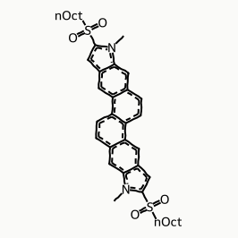 CCCCCCCCS(=O)(=O)c1cc2cc3c(ccc4c5cc6cc(S(=O)(=O)CCCCCCCC)n(C)c6cc5ccc34)cc2n1C